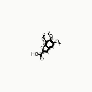 COc1cc2cc(C(=O)O)oc2c(OC)c1OC